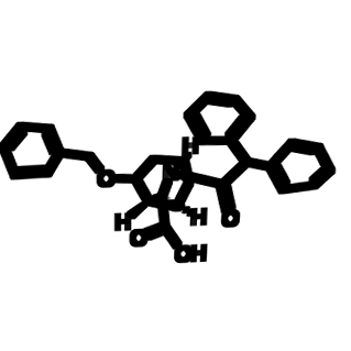 O=C(O)[C@H]1[C@@H]2CC[C@@H](CC2OCc2ccccc2)N1C(=O)C(c1ccccc1)c1ccccc1